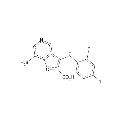 Bc1cncc2c(Nc3ccc(I)cc3F)c(C(=O)O)oc12